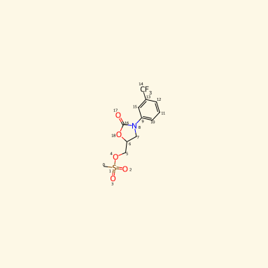 CS(=O)(=O)OCC1CN(c2cccc(C(F)(F)F)c2)C(=O)O1